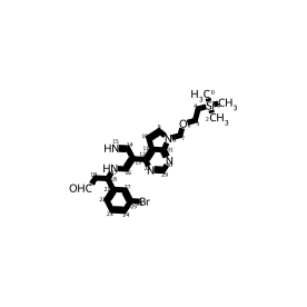 C[Si](C)(C)CCOCn1ccc2c(/C(C=N)=C/NC(CC=O)c3cccc(Br)c3)ncnc21